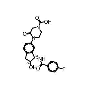 O=C(N[C@H]1c2cc(N3CCN(C(=O)O)CC3=O)ccc2C[C@@H]1O)c1ccc(F)cc1